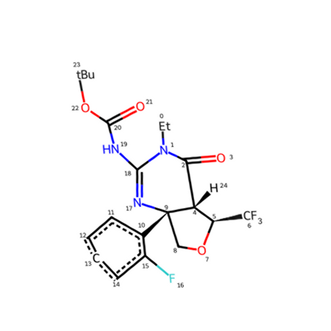 CCN1C(=O)[C@@H]2[C@@H](C(F)(F)F)OC[C@]2(c2ccccc2F)N=C1NC(=O)OC(C)(C)C